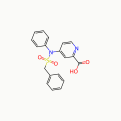 O=C(O)c1cc(N(c2ccccc2)S(=O)(=O)Cc2ccccc2)ccn1